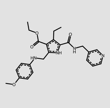 CCOC(=O)c1c(CNc2ccc(OC)cc2)[nH]c(C(=O)NCc2cccnc2)c1CC